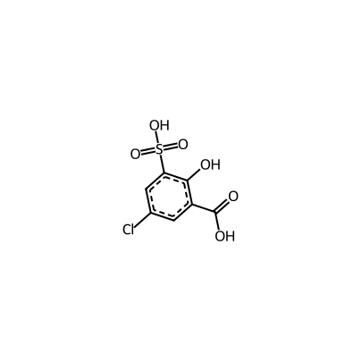 O=C(O)c1cc(Cl)cc(S(=O)(=O)O)c1O